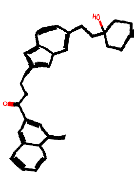 C=C1C=C(C(=O)CCC2=CC3C=C(CCC4(O)CCCCC4)C=CC3=C2)C=C2C=CC=CC12